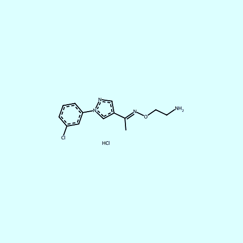 CC(=NOCCN)c1cnn(-c2cccc(Cl)c2)c1.Cl